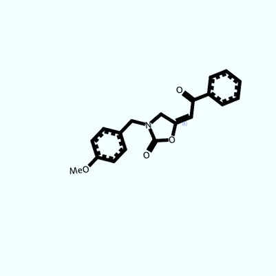 COc1ccc(CN2C/C(=C\C(=O)c3ccccc3)OC2=O)cc1